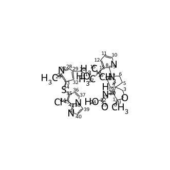 C[C@@H]1OCC2(CCN(c3ncccc3C(C)(C)C)CC2)[C@@H]1NC(=O)O.Cc1ncc(CO)cc1Sc1ccn2ccnc2c1Cl